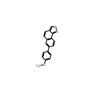 FC(F)(F)Oc1ccc(-c2ccc3c(ccc4csnc43)c2)cc1